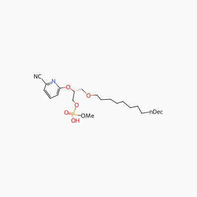 CCCCCCCCCCCCCCCCCCOC[C@H](COP(=O)(O)OC)Oc1cccc(C#N)n1